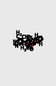 Cc1c(-c2[nH]c3ccc(N4[C@@H]5CC[C@H]4CN(CCS(C)(=O)=O)C5)nc3c2C(C)C)cn2ncnc2c1C